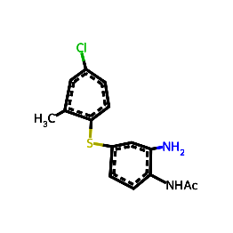 CC(=O)Nc1ccc(Sc2ccc(Cl)cc2C)cc1N